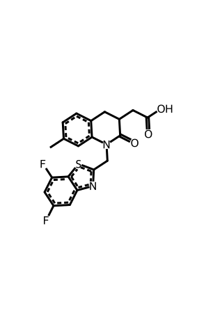 Cc1ccc2c(c1)N(Cc1nc3cc(F)cc(F)c3s1)C(=O)C(CC(=O)O)C2